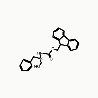 O=C(N[C@@H](CO)Cc1ccccc1)OCC1c2ccccc2-c2ccccc21